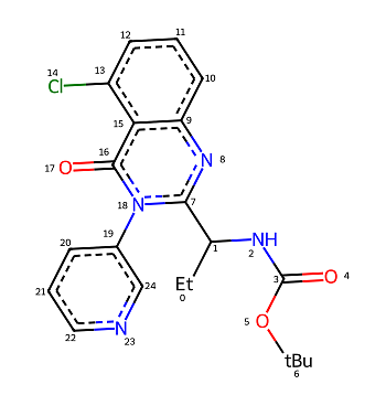 CCC(NC(=O)OC(C)(C)C)c1nc2cccc(Cl)c2c(=O)n1-c1cccnc1